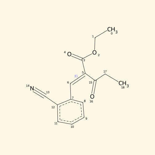 CCOC(=O)/C(=C/c1ccccc1C#N)C(=O)CC